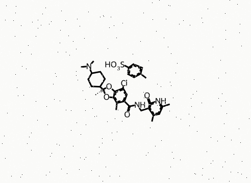 Cc1cc(C)c(CNC(=O)c2cc(Cl)c3c(c2C)O[C@@](C)(C2CCC(N(C)C)CC2)O3)c(=O)[nH]1.Cc1ccc(S(=O)(=O)O)cc1